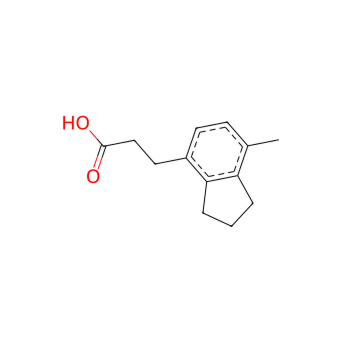 Cc1ccc(CCC(=O)O)c2c1CCC2